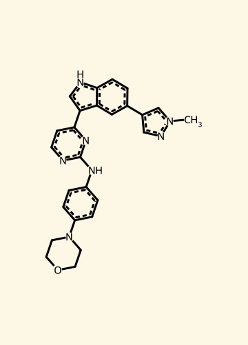 Cn1cc(-c2ccc3[nH]cc(-c4ccnc(Nc5ccc(N6CCOCC6)cc5)n4)c3c2)cn1